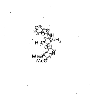 COc1cc2nccc(Oc3cc(C)c(NC(=O)OC4CCOCC4)cc3C)c2cc1OC